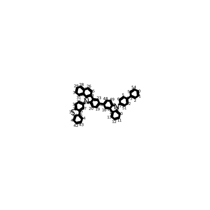 c1ccc(-c2ccc(-n3c4ccccc4c4cc(-c5ccc6c(c5)c5ccc7ccccc7c5n6-c5ccc6sc7ccccc7c6c5)ccc43)cc2)cc1